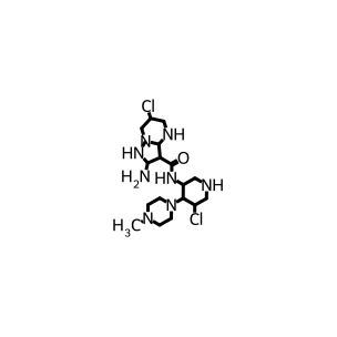 CN1CCN(C2C(Cl)CNCC2NC(=O)C2C(N)NN3CC(Cl)CNC23)CC1